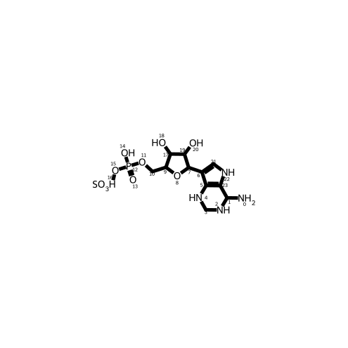 NC1NCNc2c(C3OC(COP(=O)(O)OS(=O)(=O)O)C(O)C3O)c[nH]c21